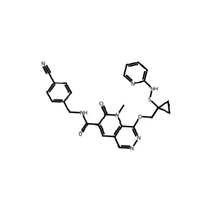 Cn1c(=O)c(C(=O)NCc2ccc(C#N)cc2)cc2cnnc(OCC3(SNc4ccccn4)CC3)c21